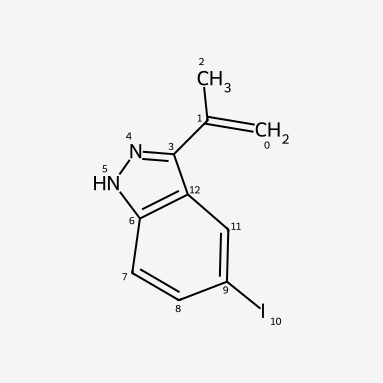 C=C(C)c1n[nH]c2ccc(I)cc12